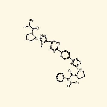 [CH2]C(C(=O)N1CCC[C@H]1c1ncc(-c2cnc(-c3ccc(-c4cnc([C@@H]5CCCN5C(=O)[C@@H](c5ccccc5)N(CC)CC)[nH]4)cc3)nc2)[nH]1)C(C)C